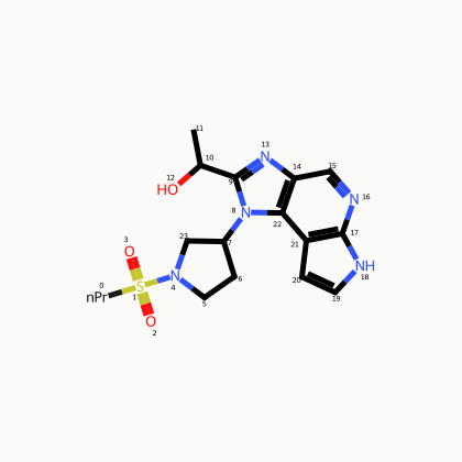 CCCS(=O)(=O)N1CCC(n2c(C(C)O)nc3cnc4[nH]ccc4c32)C1